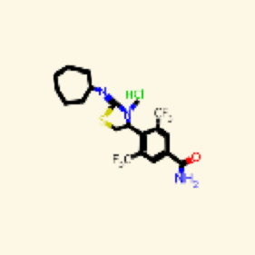 CN1C(=NC2CCCCCC2)SCC1c1c(C(F)(F)F)cc(C(N)=O)cc1C(F)(F)F.Cl